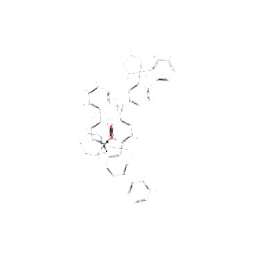 CCC1CC2CCCC(C1)C21c2ccc(-c3ccccc3)cc2-c2ccc(N(c3ccc4c(c3)C3(CCCC3)c3ccccc3-4)c3ccccc3-c3ccccc3)cc21